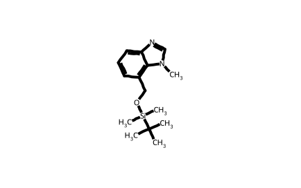 Cn1cnc2cccc(CO[Si](C)(C)C(C)(C)C)c21